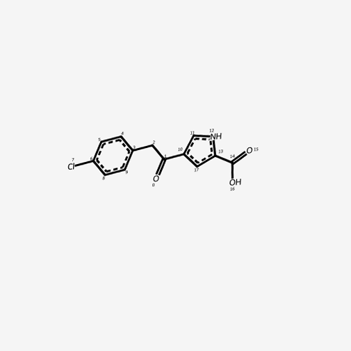 O=C(Cc1ccc(Cl)cc1)c1c[nH]c(C(=O)O)c1